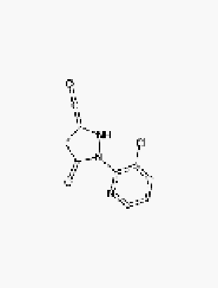 O=C=C1CC(=O)N(c2ncccc2Cl)N1